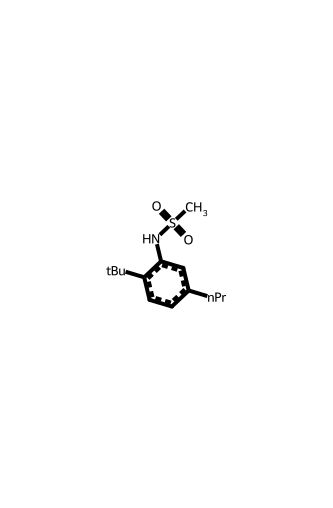 CCCc1ccc(C(C)(C)C)c(NS(C)(=O)=O)c1